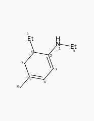 CCNC1=CC=C(C)CC1CC